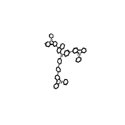 c1ccc(-n2c3ccccc3c3cc(-c4ccc(N(c5ccc(-c6ccc(-c7ccc8c9ccccc9n(-c9ccccc9)c8c7)cc6)cc5)c5ccc(-c6ccc7c8ccccc8n(-c8ccccc8)c7c6)cc5)c5ccccc45)ccc32)cc1